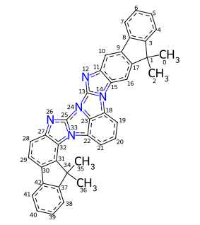 CC1(C)c2ccccc2-c2cc3nc4n(c3cc21)c1cccc2c1n4c1nc3ccc4c(c3n21)C(C)(C)c1ccccc1-4